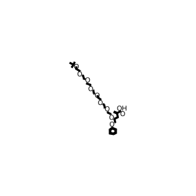 C=C(CC(COc1ccccc1)OCCOCCOCCOCCOCCOCCOCCOC(C)(C)C)C(=O)O